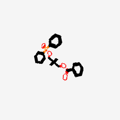 CC(C)(COC(=O)c1ccccc1)COP(=O)(c1ccccc1)c1ccccc1